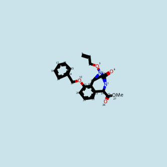 C=CCON1C(=O)N2CC1c1c(OCc3ccccc3)cccc1C2C(=O)OC